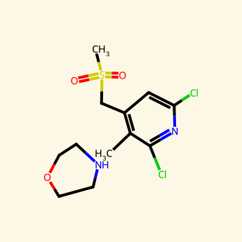 C1COCCN1.Cc1c(CS(C)(=O)=O)cc(Cl)nc1Cl